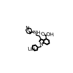 O=C(O)c1cccc2c1c(CCNC1CN3CCC1CC3)cn2Cc1ccccc1.[LiH]